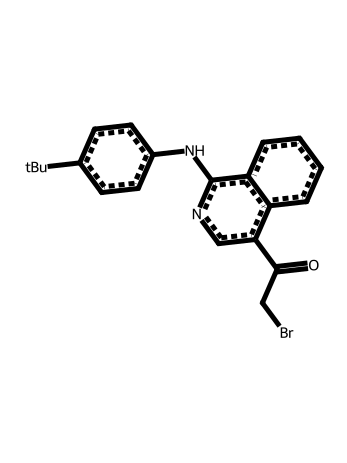 CC(C)(C)c1ccc(Nc2ncc(C(=O)CBr)c3ccccc23)cc1